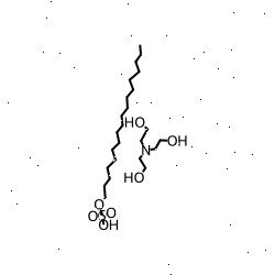 CCCCCCCCCCCCCCCCCCOS(=O)(=O)O.OCCN(CCO)CCO